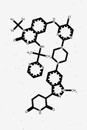 [2H]C([2H])([2H])n1c(=O)nc(NC(C)(C)c2ncccn2)c2cc(Nc3nc(N4CCN(c5ccc6c(C7CCC(=O)NC7=O)nn(C)c6c5)CC4)ncc3Cl)ccc21